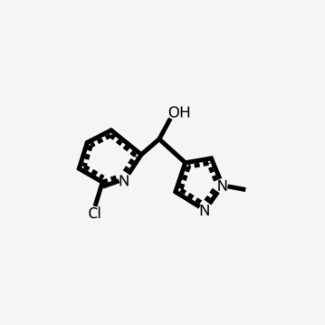 Cn1cc(C(O)c2cccc(Cl)n2)cn1